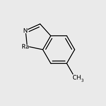 Cc1ccc2[c](c1)[Ra][N]=C2